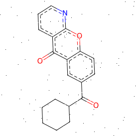 O=C(c1ccc2oc3ncccc3c(=O)c2c1)C1CCCCC1